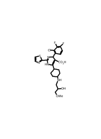 COCC(O)CNC1CCC(C2=C(C(=O)O)C(c3ccc(F)c(F)c3Cl)N=C(c3nccs3)N2)CC1